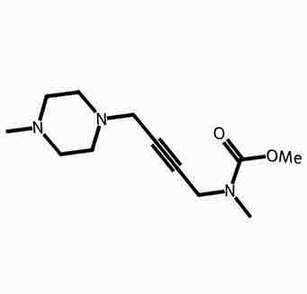 COC(=O)N(C)CC#CCN1CCN(C)CC1